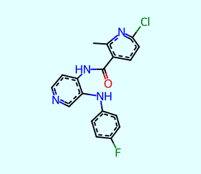 Cc1nc(Cl)ccc1C(=O)Nc1ccncc1Nc1ccc(F)cc1